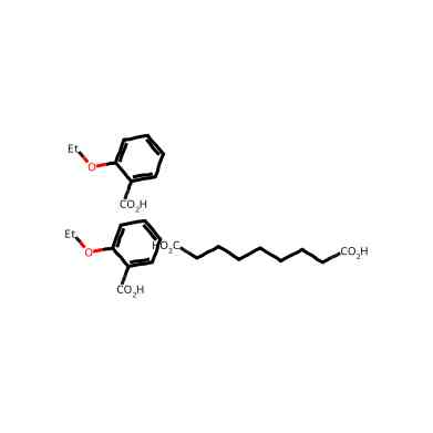 CCOc1ccccc1C(=O)O.CCOc1ccccc1C(=O)O.O=C(O)CCCCCCCC(=O)O